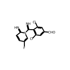 N=C(c1c(Cl)cc(C=O)cc1Cl)n1cc(F)ccc1=N